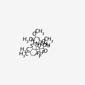 CCCCC1(C(OC)(C(=O)O)C(F)(F)F)C=CCC(C)(C)C1Sc1nc(OC)cc(OC)n1